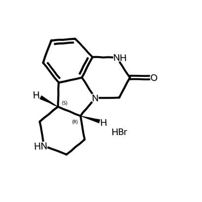 Br.O=C1CN2c3c(cccc3[C@H]3CNCC[C@H]32)N1